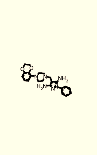 Nc1nn(-c2ccccc2)c(N)c1CN1CCN(c2cccc3c2OCCO3)CC1